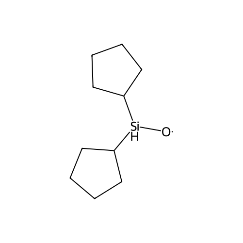 [O][SiH](C1CCCC1)C1CCCC1